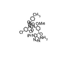 COc1ccc(C(=O)c2cn(C(C)C)c3ncnc(N)c23)cc1N(OS(=O)(=O)c1ccc(C)cc1)C(=O)Nc1ccc(Cl)cc1Cl